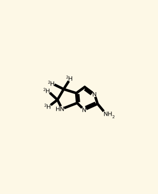 [2H]C1([2H])Nc2nc(N)ncc2C1([2H])[2H]